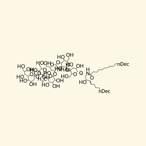 CCCCCCCCCCCCC/C=C/[C@@H](O)[C@H](CO[C@@H]1OC(CO)[C@@H](O[C@@H]2OC(CO)[C@H](O)[C@H](O[C@@H]3OC(CO)[C@@H](O[C@@H]4OC(CO)[C@H](O)[C@H](O[C@]5(C(=O)O)CC(O)[C@@H](O)C([C@H](O)[C@H](O)CO)O5)C4O)[C@H](O[C@H]4OC(C)[C@@H](O)C(O)[C@@H]4O)C3NC(C)=O)C2O)[C@H](O)C1O)NC(=O)CCCCCCCCCCCCCCCCCCC